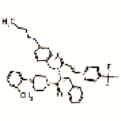 C=C(/C=C/c1ccc(C(F)(F)F)cc1)N(Cc1ccc(CCCCC)cc1)[C@@H](Cc1ccccc1)C(=O)N1CCN(c2ccccc2C)CC1